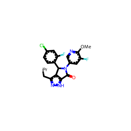 COc1ncc(N2C(=O)c3[nH]nc(CC(C)C)c3C2c2ccc(Cl)cc2F)cc1F